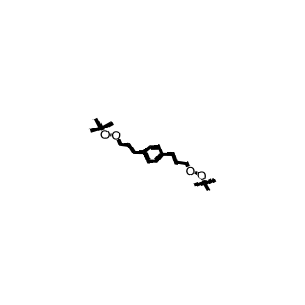 CC(C)(C)OOCCCc1ccc(CCCOOC(C)(C)C)cc1